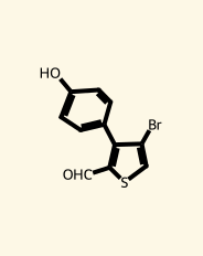 O=Cc1scc(Br)c1-c1ccc(O)cc1